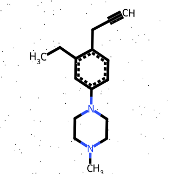 C#CCc1ccc(N2CCN(C)CC2)cc1CC